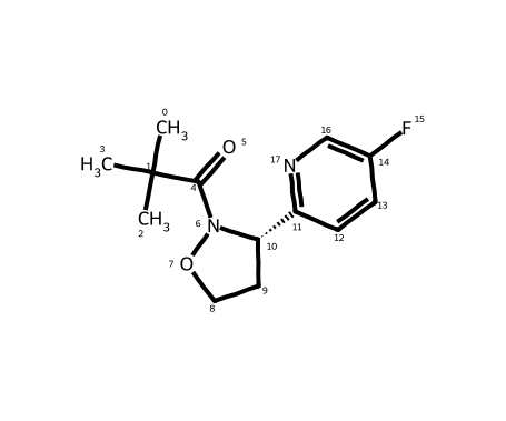 CC(C)(C)C(=O)N1OCC[C@H]1c1ccc(F)cn1